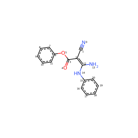 N#C/C(C(=O)Oc1ccccc1)=C(\N)Nc1ccccc1